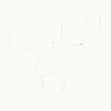 O=C(O)CC(NC(=O)OCCl)C(=O)OC(Cc1ccccc1)c1ccccc1